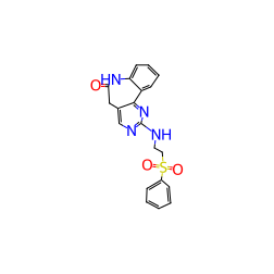 O=C1Cc2cnc(NCCS(=O)(=O)c3ccccc3)nc2-c2ccccc2N1